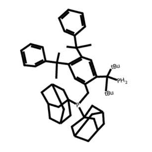 CC(C)(c1ccccc1)c1cc(CP(C23CC4CC(CC(C4)C2)C3)C23CC4CC(CC(C4)C2)C3)c(C(P)(C(C)(C)C)C(C)(C)C)cc1C(C)(C)c1ccccc1